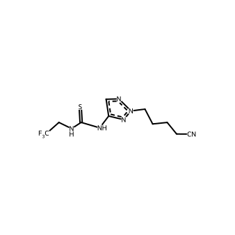 N#CCCCCn1ncc(NC(=S)NCC(F)(F)F)n1